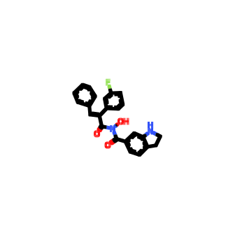 O=C(C(=Cc1ccccc1)c1cccc(F)c1)N(O)C(=O)c1ccc2c(c1)NCC2